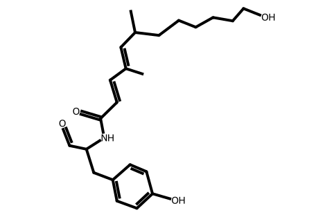 CC(/C=C/C(=O)NC(C=O)Cc1ccc(O)cc1)=C\C(C)CCCCCCO